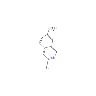 CCc1cc2ccc(C(=O)O)cc2cn1